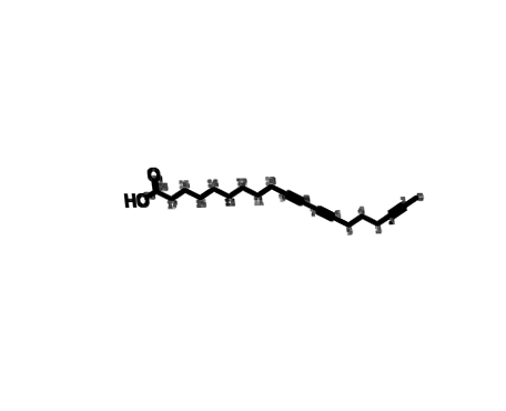 CC#CCCCC#CC#CCCCCCCCCC(=O)O